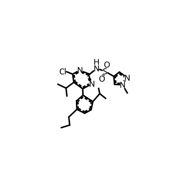 CCCc1ccc(C(C)C)c(-c2nc(NS(=O)(=O)c3cnn(C)c3)nc(Cl)c2C(C)C)c1